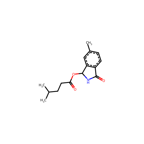 Cc1ccc2c(c1)C(OC(=O)CCC(C)C)NC2=O